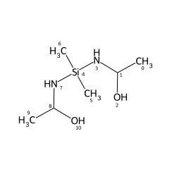 CC(O)N[Si](C)(C)NC(C)O